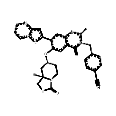 Cc1nc2cc(-c3cc4ncccn4n3)c(O[C@H]3CCN4C(=O)OC[C@@H]4C3)cc2c(=O)n1Cc1ccc(C#N)cc1